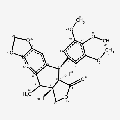 COc1cc([C@@H]2c3cc4c(cc3C(C)[C@H]3COC(=O)[C@H]23)OCO4)cc(OC)c1OC